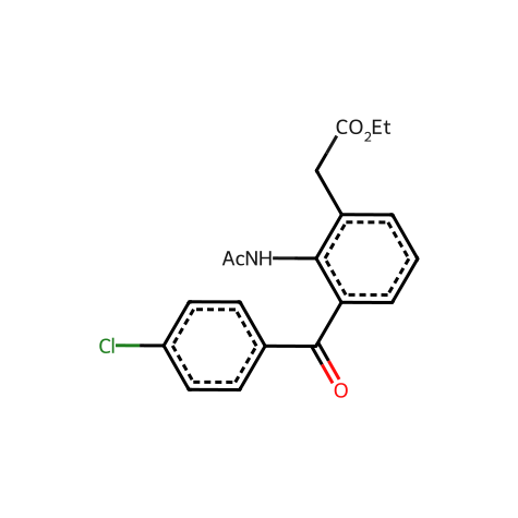 CCOC(=O)Cc1cccc(C(=O)c2ccc(Cl)cc2)c1NC(C)=O